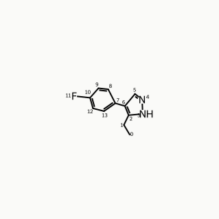 CCc1[nH]ncc1-c1ccc(F)cc1